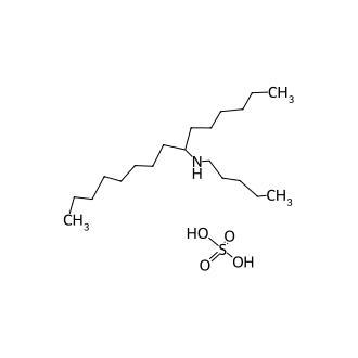 CCCCCCCCC(CCCCCC)NCCCCC.O=S(=O)(O)O